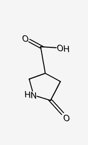 O=C1CC(C(=O)O)CN1